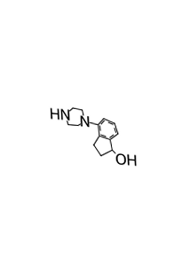 OC1CCc2c1cccc2N1CCNCC1